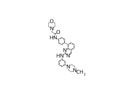 CN1CCN(c2cccc(Nc3ncc4cccc(-c5ccc(NC(=O)CN6CCOCC6)cc5)c4n3)c2)CC1